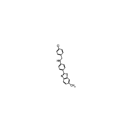 Cc1ccc2nc(-c3ccc(NCc4ccc(Cl)cc4)cc3)sc2c1